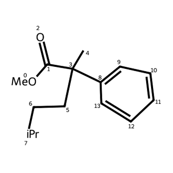 COC(=O)C(C)(CCC(C)C)c1ccccc1